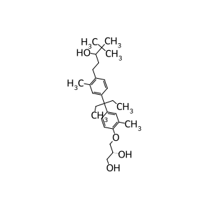 CCC(CC)(c1ccc(CCC(O)C(C)(C)C)c(C)c1)c1ccc(OC[C@H](O)CO)c(C)c1